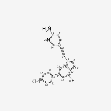 Nc1ccc(C#Cc2cnc3c(F)cc(-c4ccc(Cl)cc4)cn23)cn1